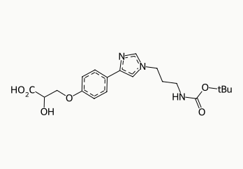 CC(C)(C)OC(=O)NCCCn1cnc(-c2ccc(OCC(O)C(=O)O)cc2)c1